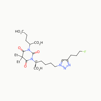 CCC1(CC)C(=O)N(C(CCC(=O)O)C(=O)O)C(=O)N([C@@H](CCCCn2cc(CCCF)nn2)C(=O)O)C1=O